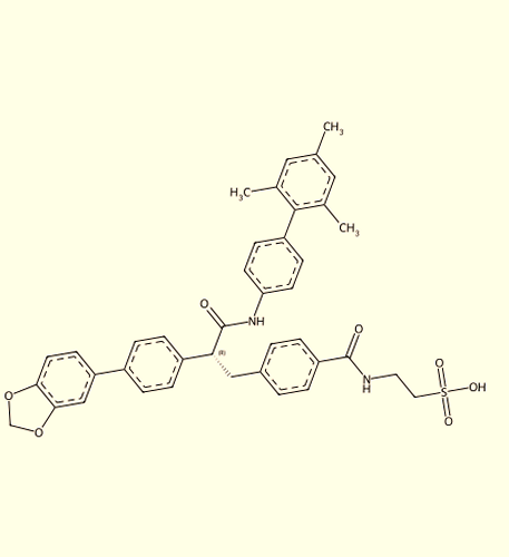 Cc1cc(C)c(-c2ccc(NC(=O)[C@H](Cc3ccc(C(=O)NCCS(=O)(=O)O)cc3)c3ccc(-c4ccc5c(c4)OCO5)cc3)cc2)c(C)c1